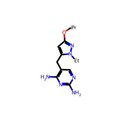 CCn1nc(OC(C)C)cc1Cc1cnc(N)nc1N